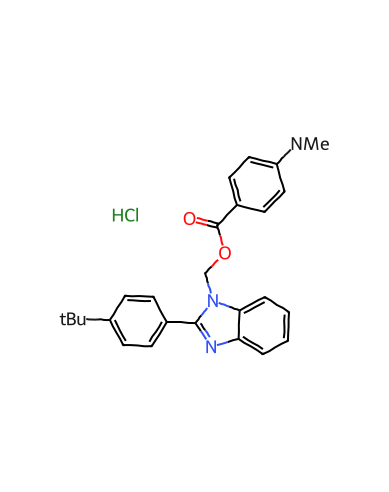 CNc1ccc(C(=O)OCn2c(-c3ccc(C(C)(C)C)cc3)nc3ccccc32)cc1.Cl